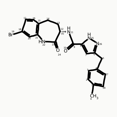 Cc1ccc(Cc2cc(C(=O)N[C@H]3CCc4ccc(Br)cc4NC3=O)[nH]n2)cc1